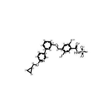 CS(=O)(=O)NC(=O)c1cc(F)c(COc2cccc(-c3ccc(OCC4CC4)nc3)c2)cc1F